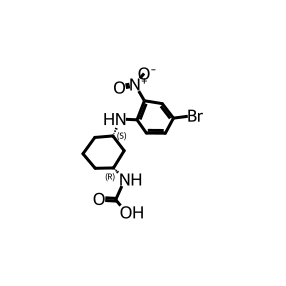 O=C(O)N[C@@H]1CCC[C@H](Nc2ccc(Br)cc2[N+](=O)[O-])C1